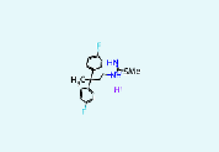 CSC(=N)NCCC(C)(c1ccc(F)cc1)c1ccc(F)cc1.I